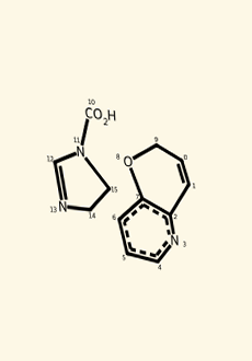 C1=Cc2ncccc2OC1.O=C(O)N1C=NCC1